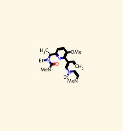 C=C/C(=C\N(/C=C\NC)CC)c1nc([C@@H](C)N(CC)C(=O)NC)ccc1OC